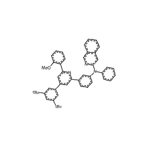 COc1ccccc1-c1cc(-c2cc(C(C)(C)C)cc(C(C)(C)C)c2)cc(-c2cccc(N(c3ccccc3)c3cc4ccccc4cn3)c2)n1